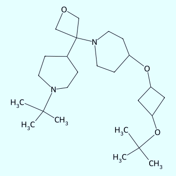 CC(C)(C)OC1CC(OC2CCN(C3(C4CCN(C(C)(C)C)CC4)COC3)CC2)C1